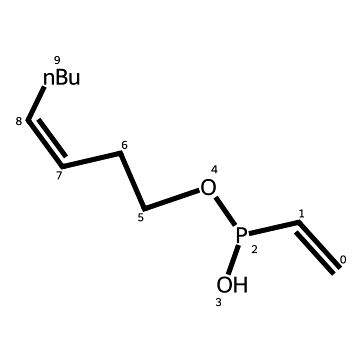 C=CP(O)OCC/C=C\CCCC